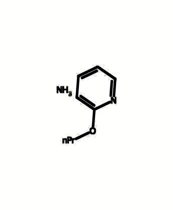 CCCOc1ccccn1.N